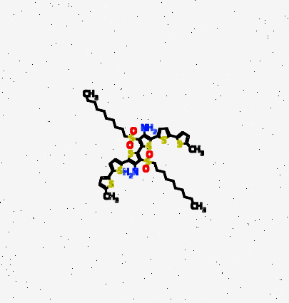 CCCCCCCCCCS(=O)(=O)c1c(-c2sc(-c3ccc(-c4ccc(C)s4)s3)c(N)c2S(=O)(=O)CCCCCCCCCC)sc(-c2ccc(-c3ccc(C)s3)s2)c1N